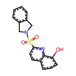 O=S(=O)(c1ccc2cccc(O)c2n1)N1Cc2ccccc2C1